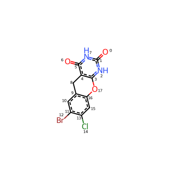 O=c1[nH]c2c(c(=O)[nH]1)Cc1cc(Br)c(Cl)cc1O2